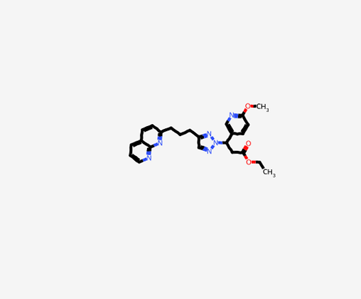 CCOC(=O)CC(c1ccc(OC)nc1)n1ncc(CCCc2ccc3cccnc3n2)n1